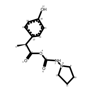 C[C@H](C(=O)OC(=O)NN1CCCC1)c1ccc(O)cc1